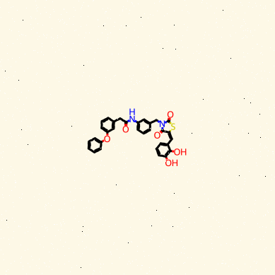 O=C(Cc1cccc(Oc2ccccc2)c1)Nc1cccc(CN2C(=O)SC(=Cc3cccc(O)c3O)C2=O)c1